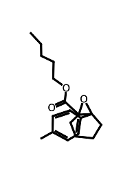 CCCCCOC(=O)C12CCCCC1(c1ccc(C)cc1)O2